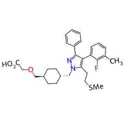 CSCCc1c(-c2cccc(C)c2F)c(-c2ccccc2)nn1C[C@H]1CC[C@H](COCC(=O)O)CC1